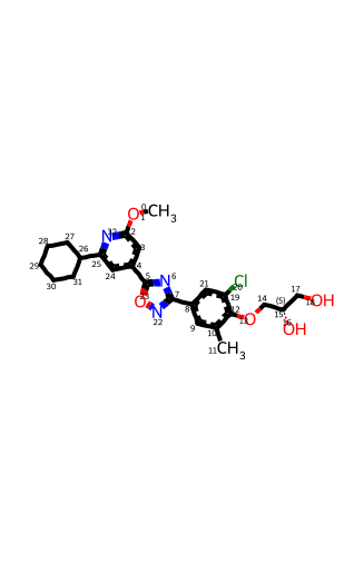 COc1cc(-c2nc(-c3cc(C)c(OC[C@@H](O)CO)c(Cl)c3)no2)cc(C2CCCCC2)n1